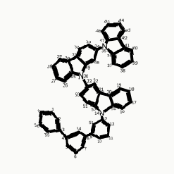 c1ccc(-c2cccc(-c3cccc(-n4c5ccccc5c5cc(-n6c7ccccc7c7ccc(-n8c9ccccc9c9ccccc98)cc76)ccc54)c3)c2)cc1